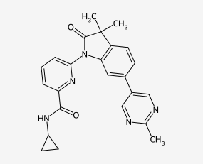 Cc1ncc(-c2ccc3c(c2)N(c2cccc(C(=O)NC4CC4)n2)C(=O)C3(C)C)cn1